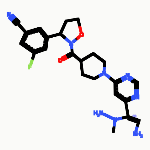 CN(N)/C(=C\N)c1cc(N2CCC(C(=O)N3OCCC3c3cc(F)cc(C#N)c3)CC2)ncn1